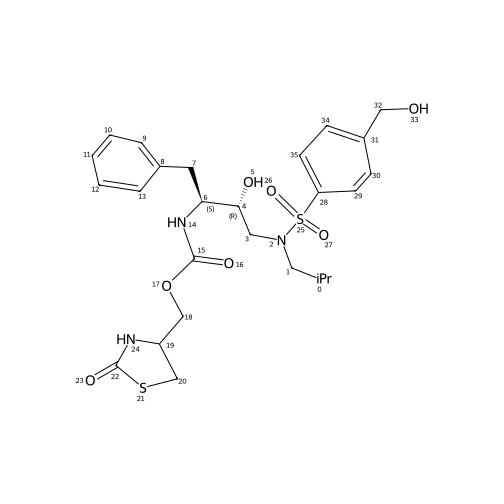 CC(C)CN(C[C@@H](O)[C@H](Cc1ccccc1)NC(=O)OCC1CSC(=O)N1)S(=O)(=O)c1ccc(CO)cc1